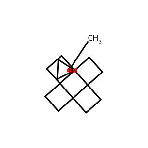 CC1CCC12CCC21CCC12CCC21CCC12CC2